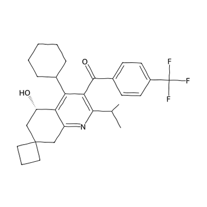 CC(C)c1nc2c(c(C3CCCCC3)c1C(=O)c1ccc(C(F)(F)F)cc1)[C@@H](O)CC1(CCC1)C2